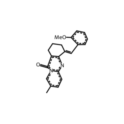 COc1ccccc1C=C1CCCc2c1nc1ccc(C)cn1c2=O